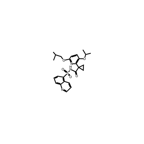 CC(C)COc1ccc(OC(C)C)c(C2(C(=O)NS(=O)(=O)c3cccc4ncccc34)CC2)n1